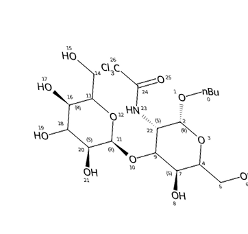 CCCCO[C@@H]1OC(CO)[C@@H](O)C(O[C@@H]2OC(CO)[C@H](O)C(O)[C@@H]2O)[C@@H]1NC(=O)C(Cl)(Cl)Cl